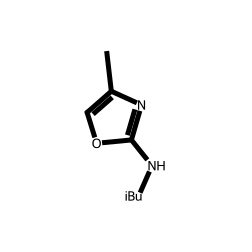 CCC(C)Nc1nc(C)co1